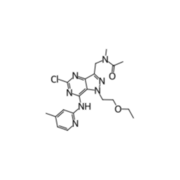 CCOCCn1nc(CN(C)C(C)=O)c2nc(Cl)nc(Nc3cc(C)ccn3)c21